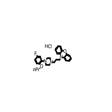 CCCOc1ccc(F)cc1N1CCN(CCCN2c3ccccc3Oc3ccccc32)CC1.Cl